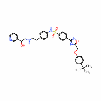 CC(C)(C)c1ccc(OCc2nc(-c3ccc(S(=O)(=O)Nc4ccc(CCNCC(O)c5cccnc5)cc4)cc3)no2)cc1